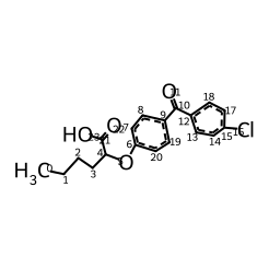 CCCCC(Oc1ccc(C(=O)c2ccc(Cl)cc2)cc1)C(=O)O